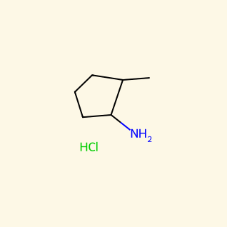 CC1CCCC1N.Cl